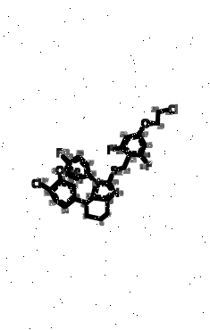 COc1cc(C2CCCc3nc(SCc4c(F)cc(OCCCl)cc4F)n(-c4ccc(F)cc4)c32)ccc1Cl